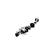 Cc1cc(C(=O)c2ccc(-c3cnn(CC45CC6(OCCN7CCOCC7)C[C@](C)(C4)C[C@](C)(C5)C6)c3C)c(C(=O)O)n2)nnc1Nc1nc2ccccc2s1